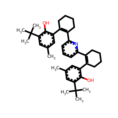 Cc1cc(C2=C(c3cccc(C4=C(c5cc(C)cc(C(C)(C)C)c5O)CCCC4)n3)CCCC2)c(O)c(C(C)(C)C)c1